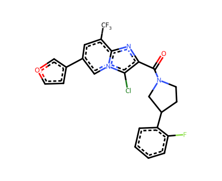 O=C(c1nc2c(C(F)(F)F)cc(-c3ccoc3)cn2c1Cl)N1CCC(c2ccccc2F)C1